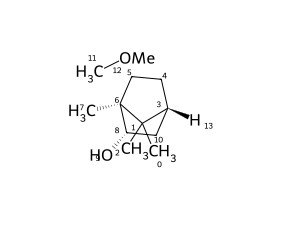 CC1(C)[C@@H]2CC[C@]1(C)[C@@H](O)C2.COC